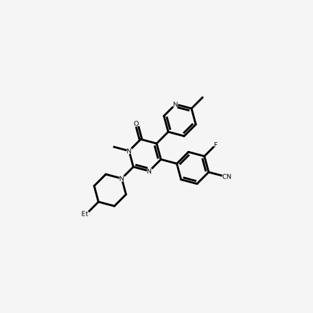 CCC1CCN(c2nc(-c3ccc(C#N)c(F)c3)c(-c3ccc(C)nc3)c(=O)n2C)CC1